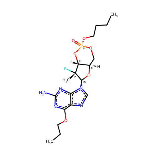 CCCCO[P@]1(=O)OC[C@H]2O[C@@H](n3cnc4c(OCCC)nc(N)nc43)[C@](C)(F)[C@@H]2O1